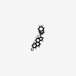 C[C@]12CCC(=O)C=C1C=CC1C2CC[C@@]2(C)C1CC[C@@H]2CCB1C2CCCCC1CCC2